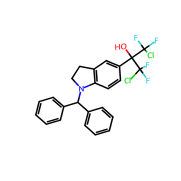 OC(c1ccc2c(c1)CCN2C(c1ccccc1)c1ccccc1)(C(F)(F)Cl)C(F)(F)Cl